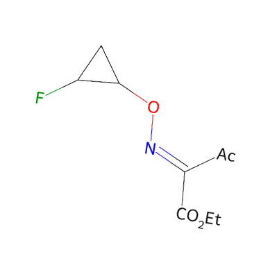 CCOC(=O)/C(=N/OC1CC1F)C(C)=O